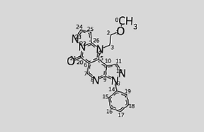 COCCn1c2c(cnc3c2cnn3-c2ccccc2)c(=O)n2nccc12